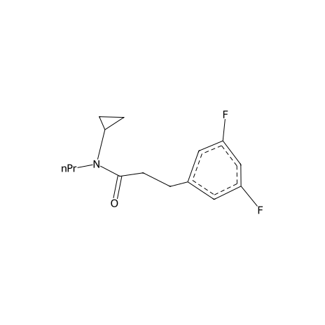 CCCN(C(=O)CCc1cc(F)cc(F)c1)C1CC1